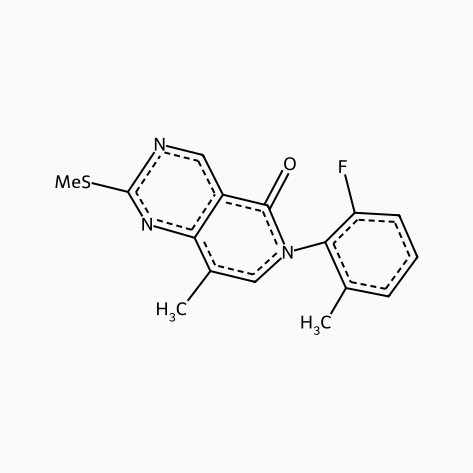 CSc1ncc2c(=O)n(-c3c(C)cccc3F)cc(C)c2n1